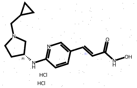 Cl.Cl.O=C(/C=C/c1ccc(N[C@@H]2CCN(CC3CC3)C2)nc1)NO